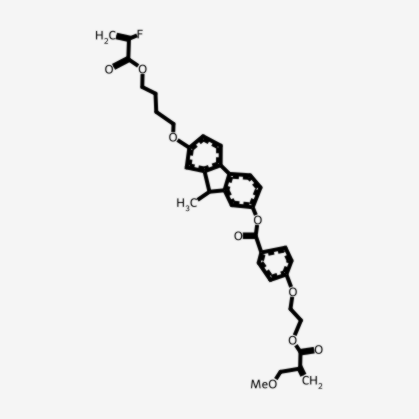 C=C(F)C(=O)OCCCCOc1ccc2c(c1)C(C)c1cc(OC(=O)c3ccc(OCCOC(=O)C(=C)COC)cc3)ccc1-2